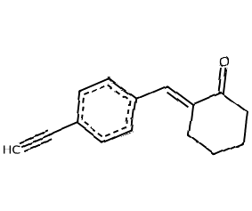 C#Cc1ccc(C=C2CCCCC2=O)cc1